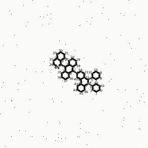 c1ccc(-c2c(-c3ccccc3)c3ccc(-c4c5ccccc5c(-c5nccc6ccccc56)c5ccccc45)cc3c3ccccc23)cc1